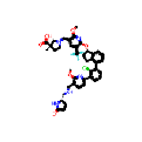 COc1nc(-c2cccc(-c3cccc4c3CC[C@@H]4Oc3nc(OC)c(CN4CC[C@](C)(C(=O)O)C4)cc3C(F)(F)F)c2Cl)ccc1CNC[C@@H]1CCC(=O)N1